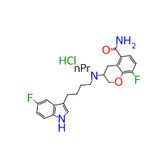 CCCN(CCCCc1c[nH]c2ccc(F)cc12)C1COc2c(F)ccc(C(N)=O)c2C1.Cl